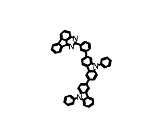 c1ccc(-n2c3ccccc3c3cc(-c4ccc5c(c4)c4ccc(-c6cccc(-c7nc8c9c(cccc9n7)-c7ccccc7-8)c6)cc4n5-c4ccccc4)ccc32)cc1